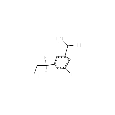 CC(N)c1cc(F)cc(C(F)(F)CO)c1